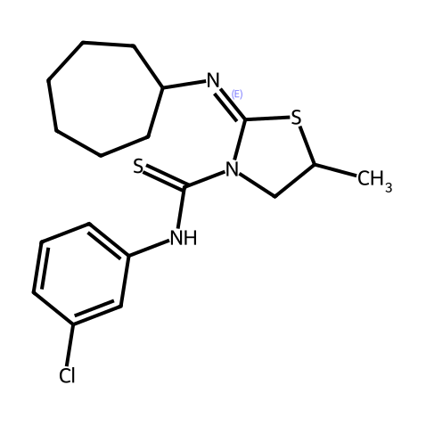 CC1CN(C(=S)Nc2cccc(Cl)c2)/C(=N\C2CCCCCC2)S1